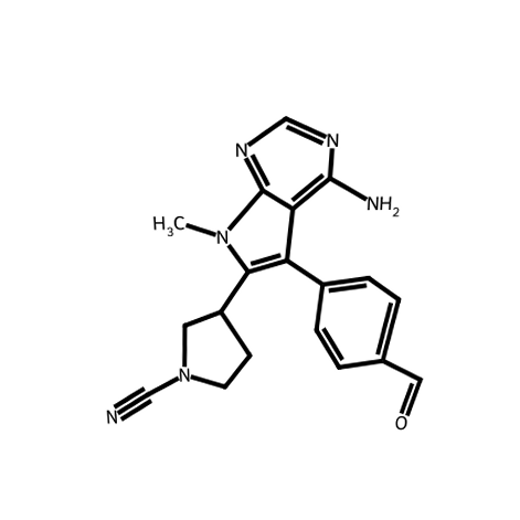 Cn1c(C2CCN(C#N)C2)c(-c2ccc(C=O)cc2)c2c(N)ncnc21